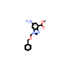 COC(=O)c1cc(N)cc2c1ncn2COCc1ccccc1